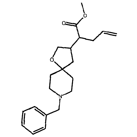 C=CCC(C(=O)OC)C1COC2(CCN(Cc3ccccc3)CC2)C1